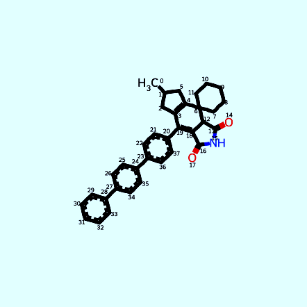 CC1CC2=C(C1)C1(CCCCC1)C1C(=O)NC(=O)C1=C2c1ccc(-c2ccc(-c3ccccc3)cc2)cc1